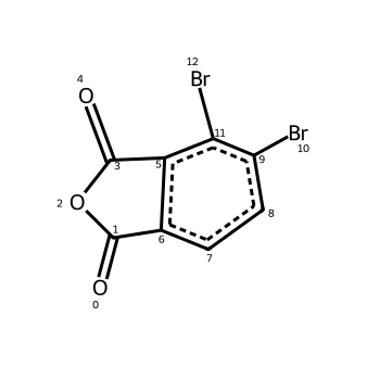 O=C1OC(=O)c2c1ccc(Br)c2Br